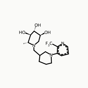 C[C@@H]1[C@@H](O)[C@H](O)[C@@H](O)CN1CC1CCCN(c2cccnc2C(F)(F)F)C1